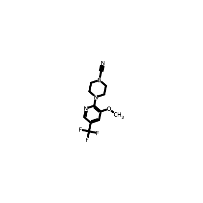 COc1cc(C(F)(F)F)cnc1N1CCB(C#N)CC1